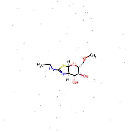 CCNC1=N[C@@H]2[C@@H](O)[C@H](O)[C@@H](COC)O[C@@H]2S1